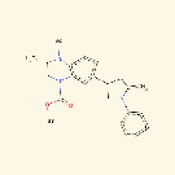 C=C1CC(c2ccc3c(c2)N(C(=O)OC(C)C)C[C@H](C)N3C(C)=O)CN1c1ccccc1